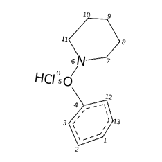 Cl.c1ccc(ON2CCCCC2)cc1